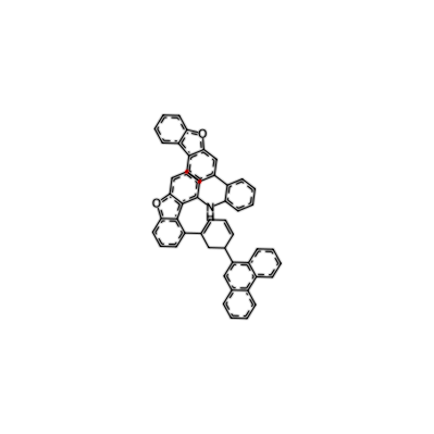 C1=CC(c2cc3ccccc3c3ccccc23)CC(c2cccc3oc4cccc(Nc5ccccc5-c5ccc6c(c5)oc5ccccc56)c4c23)=C1